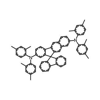 Cc1ccc(N(c2ccc3c(c2)C2(c4ccccc4-c4ccccc42)c2cc4cc(N(c5ccc(C)cc5C)c5ccc(C)cc5C)ccc4cc2-3)c2ccc(C)cc2C)c(C)c1